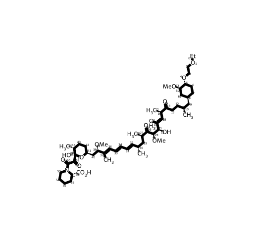 CCOCCO[C@@H]1CC[C@@H](C[C@@H](C)CCC(=O)[C@H](C)/C=C(\C)[C@@H](O)[C@@H](OC)C(=O)[C@H](C)C[C@H](C)/C=C/C=C/C=C(\C)[C@H](C[C@@H]2CC[C@@H](C)[C@](O)(C(=O)C(=O)N3CCCC[C@H]3C(=O)O)O2)OC)C[C@H]1OC